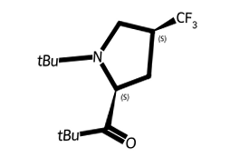 CC(C)(C)C(=O)[C@@H]1C[C@H](C(F)(F)F)CN1C(C)(C)C